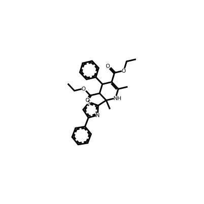 CCOC(=O)C1=C(C)NC(C)(c2nc(-c3ccccc3)cs2)C(C(=O)OCC)C1c1ccccc1